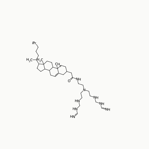 CC(C)CCCC(C)C1CCC2C3CC=C4CC(CC(=O)NCCN(CCNCNC=N)CCNCNC=N)CCC4(C)C3CCC12C